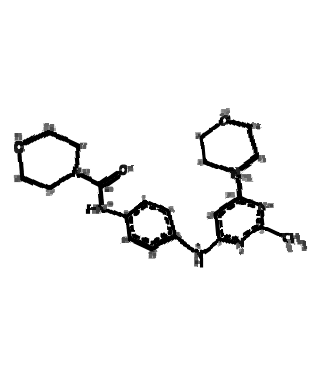 Cc1nc(Nc2ccc(NC(=O)N3CCOCC3)cc2)cc(N2CCOCC2)n1